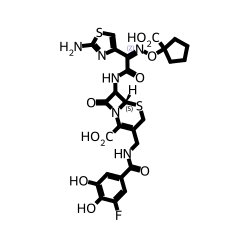 Nc1nc(/C(=N/OC2(C(=O)O)CCCC2)C(=O)NC2C(=O)N3C(C(=O)O)=C(CNC(=O)c4cc(O)c(O)c(F)c4)CS[C@@H]23)cs1